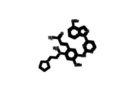 COc1cc(N(C)CCN2CCCC2)c(C=CC(N)=O)cc1Nc1nccc(-n2ncc3c(OC)cccc32)n1